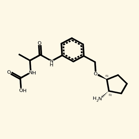 CC(NC(=O)O)C(=O)Nc1cccc(CO[C@H]2CCC[C@@H]2N)c1